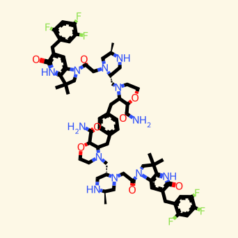 C[C@@H]1CN(CC(=O)N2CC(C)(C)c3[nH]c(=O)c(Cc4cc(F)c(F)cc4F)cc32)[C@@H](CN2CCOC(C(N)=O)C2Cc2ccc(CC3C(C(N)=O)OCCN3C[C@H]3CN[C@H](C)CN3CC(=O)N3CC(C)(C)c4[nH]c(=O)c(Cc5cc(F)c(F)cc5F)cc43)cc2)CN1